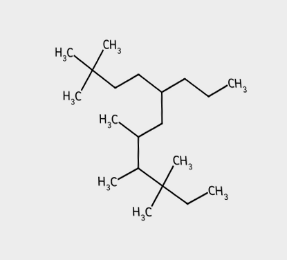 CCCC(CCC(C)(C)C)CC(C)C(C)C(C)(C)CC